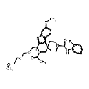 COCCOCOC[C@H]1c2[nH]c3cc(OC)ccc3c2C2(CCN(C(=O)Nc3ccccc3F)CC2)CN1C(C)=O